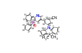 CC1(C)c2ccccc2N(c2cc(C#N)cc(-c3cncc(P(=O)(c4ccccc4)c4ccccc4)c3)c2)c2ccccc21